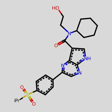 CC(C)S(=O)(=O)c1ccc(-c2cnc3[nH]cc(C(=O)N(CCO)C4CCCCC4)c3n2)cc1